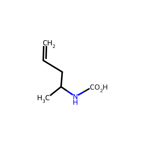 C=CCC(C)NC(=O)O